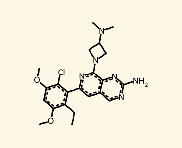 CCc1c(OC)cc(OC)c(Cl)c1-c1cc2cnc(N)nc2c(N2CC(N(C)C)C2)n1